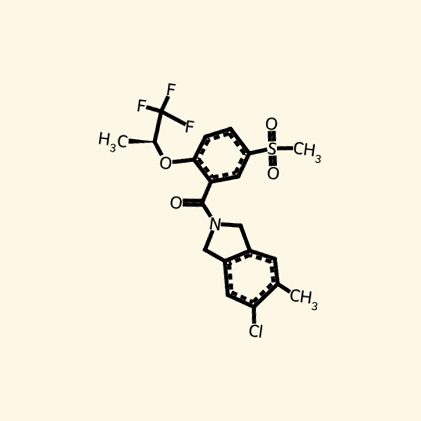 Cc1cc2c(cc1Cl)CN(C(=O)c1cc(S(C)(=O)=O)ccc1O[C@@H](C)C(F)(F)F)C2